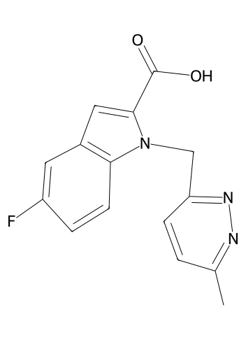 Cc1ccc(Cn2c(C(=O)O)cc3cc(F)ccc32)nn1